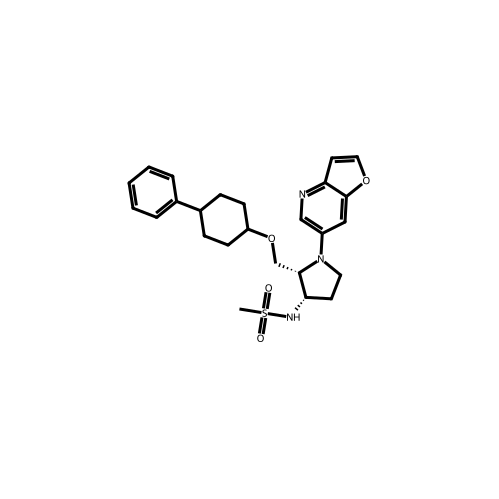 CS(=O)(=O)N[C@H]1CCN(c2cnc3ccoc3c2)[C@H]1COC1CCC(c2ccccc2)CC1